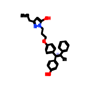 CC/C(=C(\c1ccc(O)cc1)c1ccc(OCCCn2nc(COC)cc2O)cc1)c1ccccc1